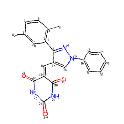 Cc1ccc(C)c(-c2nn(-c3ccccc3)cc2C=C2C(=O)NC(=O)NC2=O)c1